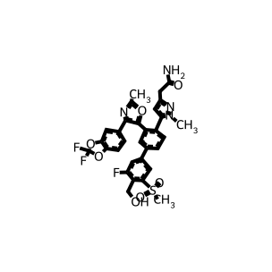 Cc1nc(-c2ccc3c(c2)OC(F)(F)O3)c(-c2cc(-c3cc(F)c(CO)c(S(C)(=O)=O)c3)ccc2-c2cc(CC(N)=O)nn2C)o1